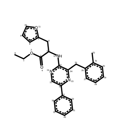 CCOC(=O)C(Cc1ccco1)Nc1ncc(-c2ccccc2)nc1Cc1ccccc1C